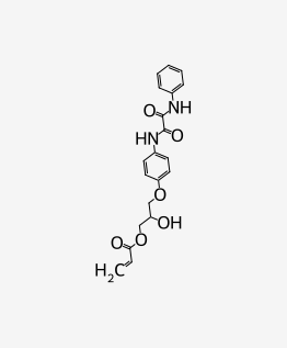 C=CC(=O)OCC(O)COc1ccc(NC(=O)C(=O)Nc2ccccc2)cc1